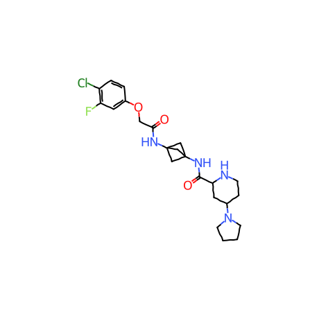 O=C(COc1ccc(Cl)c(F)c1)NC12CC(NC(=O)C3CC(N4CCCC4)CCN3)(C1)C2